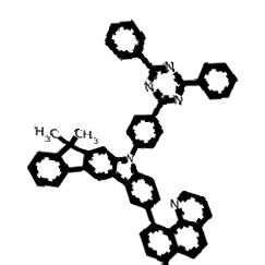 CC1(C)c2ccccc2-c2cc3c4cc(-c5cccc6ccc7cccnc7c56)ccc4n(-c4ccc(-c5nc(-c6ccccc6)nc(-c6ccccc6)n5)cc4)c3cc21